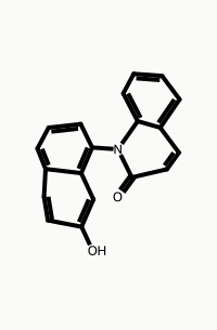 O=c1ccc2ccccc2n1-c1cccc2ccc(O)cc12